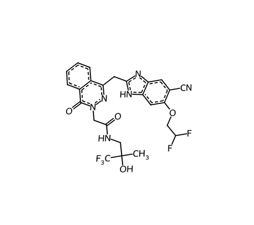 CC(O)(CNC(=O)Cn1nc(Cc2nc3cc(C#N)c(OCC(F)F)cc3[nH]2)c2ccccc2c1=O)C(F)(F)F